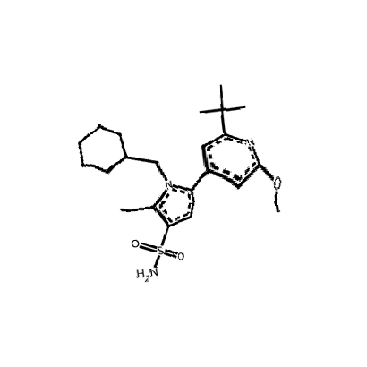 COc1cc(-c2cc(S(N)(=O)=O)c(C)n2CC2CCCCC2)cc(C(C)(C)C)n1